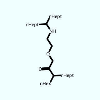 CCCCCCCC(CCCCCCC)NCCOCC(=O)C(CCCCCC)CCCCCCC